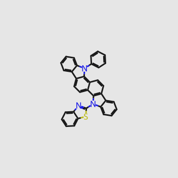 c1ccc(-n2c3ccccc3c3ccc4c(ccc5c6ccccc6n(-c6nc7ccccc7s6)c54)c32)cc1